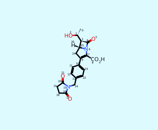 C[C@@H](O)[C@H]1C(=O)N2C(C(=O)O)=C(c3ccc(CN4C(=O)CCC4=O)cc3)C[C@H]12